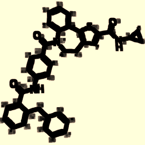 O=C(NC1CC1)c1cc2c(s1)-c1ccccc1N(C(=O)c1ccc(NC(=O)c3ccccc3Cc3ccccc3)cc1)CC2